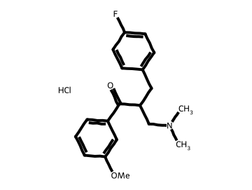 COc1cccc(C(=O)C(Cc2ccc(F)cc2)CN(C)C)c1.Cl